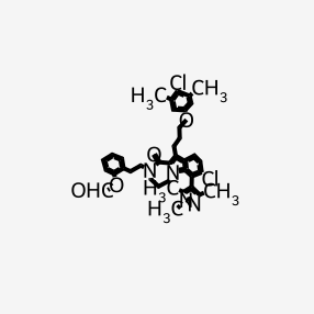 Cc1cc(OCCCc2c3n(c4c(-c5c(C)nn(C)c5C)c(Cl)ccc24)CCCN(CCc2ccccc2OC=O)C3=O)cc(C)c1Cl